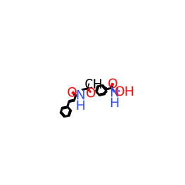 C[C@H](CNC(=O)/C=C/c1ccccc1)Oc1ccc(C(=O)NO)cc1